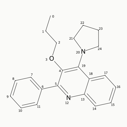 CCCOc1c(-c2ccccc2)nc2ccccc2c1N1CCCC1